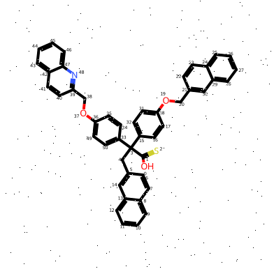 OC(=S)C(Cc1ccc2ccccc2c1)(c1ccc(OCc2ccc3ccccc3c2)cc1)c1ccc(OCc2ccc3ccccc3n2)cc1